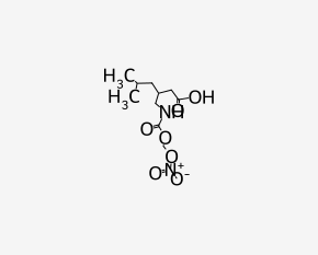 CC(C)CC(CNC(=O)OCO[N+](=O)[O-])CC(=O)O